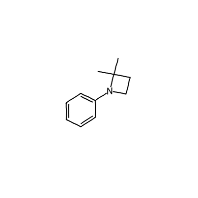 CC1(C)CCN1c1ccccc1